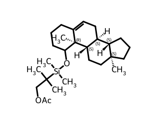 CC(=O)OCC(C)(C)[Si](C)(C)OC1CCCC2=CC[C@H]3[C@@H]4CCC[C@@]4(C)CC[C@@H]3[C@]21C